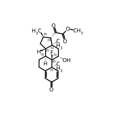 COC(=O)C(=O)[C@H]1[C@H](C)C[C@H]2[C@@H]3CCC4=CC(=O)C=C[C@]4(C)[C@@]3(F)[C@@H](O)C[C@@]21C